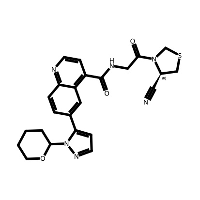 N#C[C@@H]1CSCN1C(=O)CNC(=O)c1ccnc2ccc(-c3ccnn3C3CCCCO3)cc12